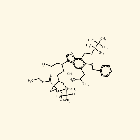 CCC[C@@H](c1coc2c(CO[Si](C)(C)C(C)(C)C)c(OCc3ccccc3)c(CC(C)C)cc12)[C@H](O)C[C@@H](O[Si](C)(C)C(C)(C)C)[C@]1(C(=O)OCC)O[C@H]1CC